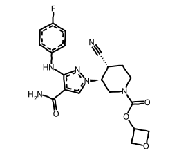 N#C[C@@H]1CCN(C(=O)OC2COC2)C[C@H]1n1cc(C(N)=O)c(Nc2ccc(F)cc2)n1